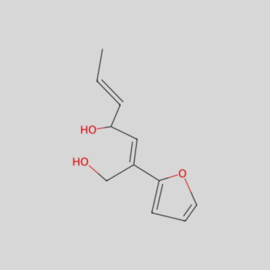 CC=CC(O)C=C(CO)c1ccco1